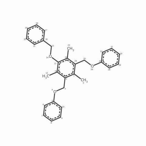 Cc1c(COc2ccccc2)c(C)c(OCc2ccccc2)c(C)c1COc1ccccc1